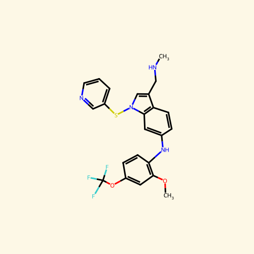 CNCc1cn(Sc2cccnc2)c2cc(Nc3ccc(OC(F)(F)F)cc3OC)ccc12